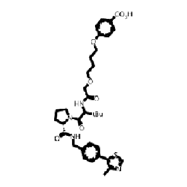 Cc1ncsc1-c1ccc(CNC(=O)[C@@H]2CCCN2C(=O)C(NC(=O)COCCCCOc2ccc(C(=O)O)cc2)C(C)(C)C)cc1